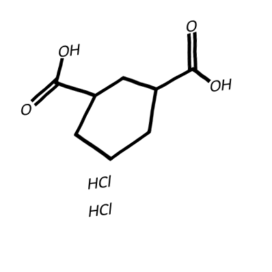 Cl.Cl.O=C(O)C1CCCC(C(=O)O)C1